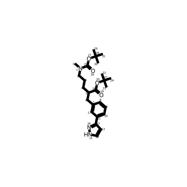 CN(CCCC(Cc1cccc(-c2cc[nH]n2)c1)C(=O)OC(C)(C)C)C(=O)OC(C)(C)C